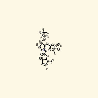 CC[C@@H]1C(CC(=O)/C=C2\C[C@@H](C)[C@H](CO[Si](C)(C)C(C)(C)C)[C@H]2CC(=O)CP(=O)(OC)OC)C(=O)C[C@H]1C